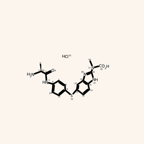 C[C@H](N)C(=O)Nc1ccc(Sc2ccc3[nH]c(N(C)C(=O)O)nc3c2)cc1.Cl